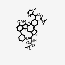 COc1ccc(C2CCCCC2)c2c1cc1n2C=C2C(=C3C[C@@H](C(=O)N(C)C)C(C(=O)c4nccn4C)C[C@H]31)C=NC2C(=O)NS(=O)(=O)N(C)C